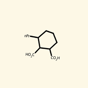 CCCC1CCCC(C(=O)O)C1C(=O)O